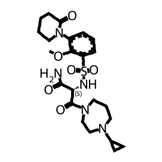 COc1c(N2CCCCC2=O)cccc1S(=O)(=O)N[C@@H](C(N)=O)C(=O)N1CCCN(C2CC2)CC1